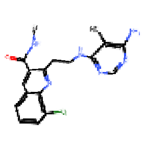 CCNC(=O)c1cc2cccc(Cl)c2nc1CCNc1ncnc(N)c1C#N